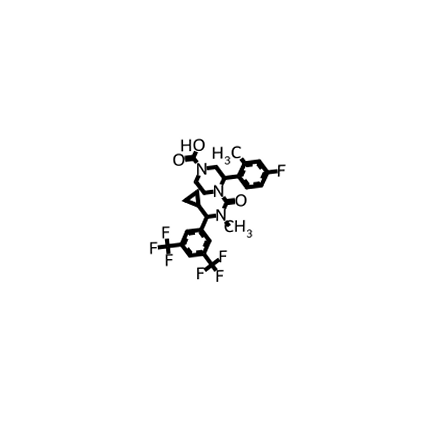 Cc1cc(F)ccc1C1CN(C(=O)O)CCN1C(=O)N(C)C(c1cc(C(F)(F)F)cc(C(F)(F)F)c1)C1CC1